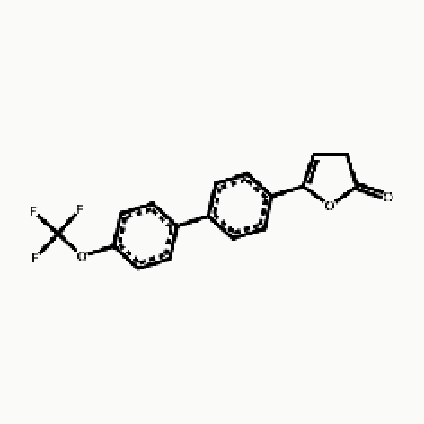 O=C1CC=C(c2ccc(-c3ccc(OC(F)(F)F)cc3)cc2)O1